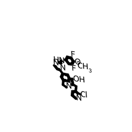 COc1c(F)cc(Nc2nccc(-c3cc4c5c(c3)c(O)c(Cc3cccnc3Cl)n5CC4)n2)cc1F